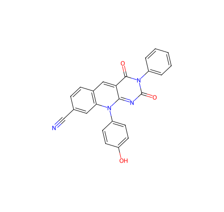 N#Cc1ccc2cc3c(=O)n(-c4ccccc4)c(=O)nc-3n(-c3ccc(O)cc3)c2c1